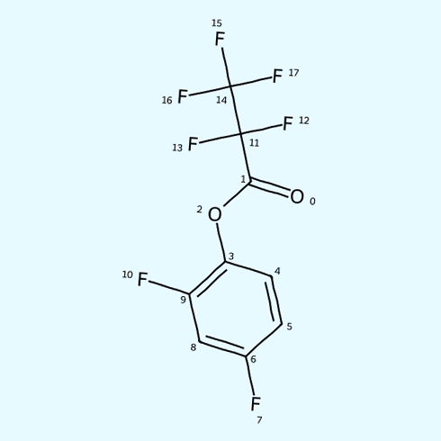 O=C(Oc1ccc(F)cc1F)C(F)(F)C(F)(F)F